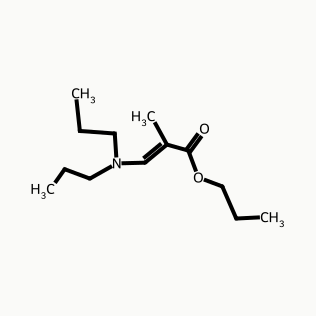 CCCOC(=O)C(C)=CN(CCC)CCC